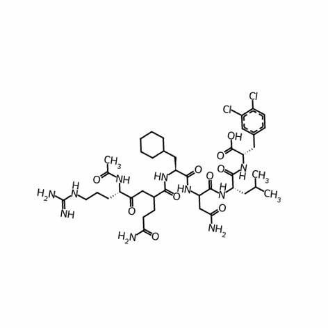 CC(=O)N[C@@H](CCCNC(=N)N)C(=O)CC(CCC(N)=O)C(=O)N[C@@H](CC1CCCCC1)C(=O)NC(CC(N)=O)C(=O)N[C@@H](CC(C)C)C(=O)N[C@@H](Cc1ccc(Cl)c(Cl)c1)C(=O)O